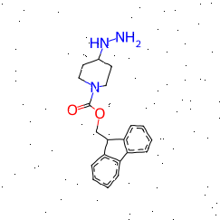 NNC1CCN(C(=O)OCC2c3ccccc3-c3ccccc32)CC1